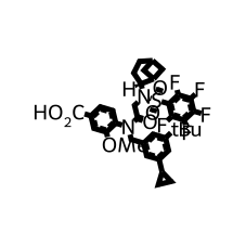 COc1cc(C(=O)O)ccc1N(Cc1cc(C2CC2)cc(C(C)(C)C)c1)C(=O)CN([C@@H]1CCC2CC1C2)S(=O)(=O)c1c(F)c(F)c(F)c(F)c1F